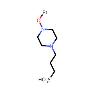 CCON1CCN(CCCS(=O)(=O)O)CC1